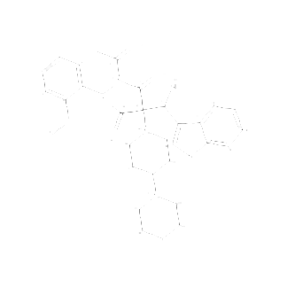 COc1ccccc1CN(C(C)=O)C(=O)C(C(C)=O)(C(N)c1c[nH]c2ccccc12)N1CCC(N2CCCCC2)CC1